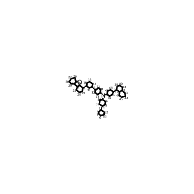 c1ccc(-c2ccc(N(c3ccc(-c4cccc(-c5cccc6c5oc5ccccc56)c4)cc3)c3ccc(-c4cccc5ccccc45)cc3)cc2)cc1